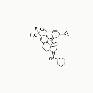 O=C(C1CCCCC1)N1CCC2(S(=O)(=O)c3cccc(C4CC4)c3)c3ccc(C(F)(C(F)(F)F)C(F)(F)F)cc3CCC12